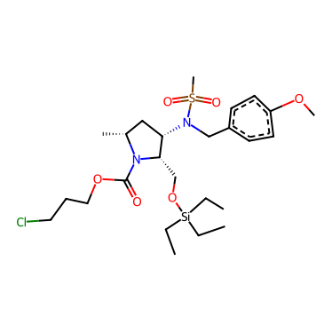 CC[Si](CC)(CC)OC[C@H]1[C@@H](N(Cc2ccc(OC)cc2)S(C)(=O)=O)C[C@@H](C)N1C(=O)OCCCCl